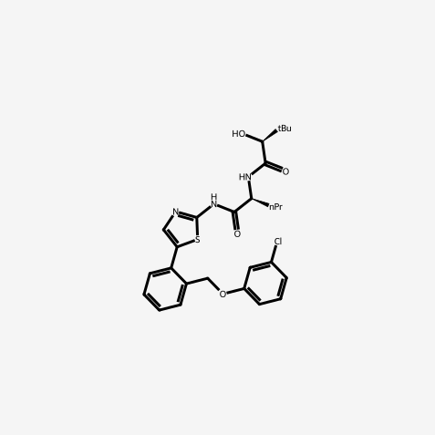 CCC[C@H](NC(=O)[C@@H](O)C(C)(C)C)C(=O)Nc1ncc(-c2ccccc2COc2cccc(Cl)c2)s1